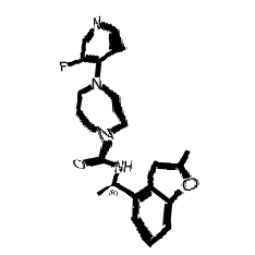 Cc1cc2c([C@@H](C)NC(=O)N3CCN(c4ccncc4F)CC3)cccc2o1